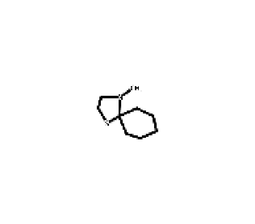 CN1CCSC12CCCCC2